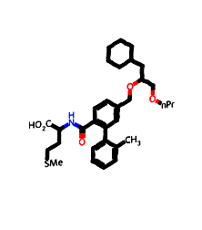 CCCOCC(CC1CCCCC1)OCc1ccc(C(=O)NC(CCSC)C(=O)O)c(-c2ccccc2C)c1